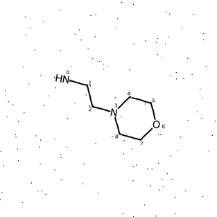 [NH][CH][CH]N1CCOCC1